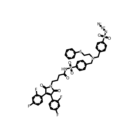 [N-]=[N+]=NS(=O)(=O)c1ccc(CN(CCSc2ccccc2)Cc2ccc(S(=O)(=O)NC(=O)CCCN3C(=O)C(c4ccc(F)cc4F)=C(c4ccc(F)cc4F)C3=O)cc2)cc1